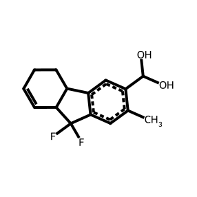 Cc1cc2c(cc1C(O)O)C1CCC=CC1C2(F)F